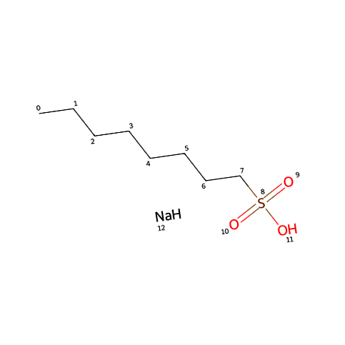 CCCCCCCCS(=O)(=O)O.[NaH]